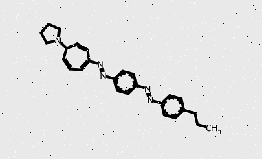 CCCc1ccc(N=Nc2ccc(N=NC3=CC=CC(N4CCCC4)C=C3)cc2)cc1